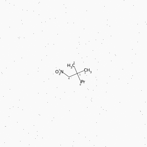 CC(C)C(C)(C)C[N+](=O)[O-]